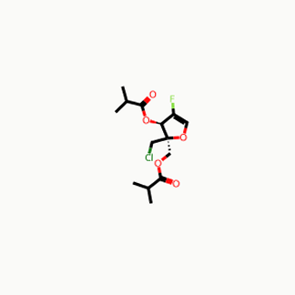 CC(C)C(=O)OC[C@@]1(CCl)OC=C(F)[C@@H]1OC(=O)C(C)C